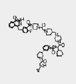 O=C(N[C@@H](C(=O)N1CCN(CC2CCN(CC(=O)N3CCN(C(=O)c4cc(Cc5n[nH]c(=O)c6ccccc56)ccc4F)CC3)CC2)CC1)C1CCCCC1)c1cccc([C@H]2CCCN(C(=O)CNC3CC3)C2)c1